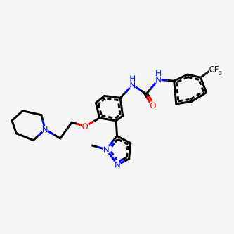 Cn1nccc1-c1cc(NC(=O)Nc2cccc(C(F)(F)F)c2)ccc1OCCN1CCCCC1